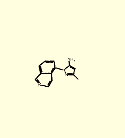 Cc1cc(N)n(-c2cccc3cnccc23)n1